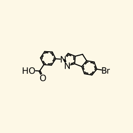 O=C(O)c1cccc(-n2cc3c(n2)-c2ccc(Br)cc2C3)c1